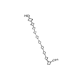 OC1CC(C2CC(C3CC(C4CC(C5CC(C6CC(C7CC(C8CC(C9CC(C%10CCC%10O)C9)C8)C7)C6)C5)C4)C3)C2)C1